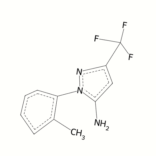 Cc1ccccc1-n1nc(C(F)(F)F)cc1N